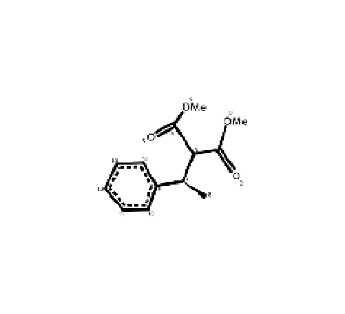 COC(=O)C(C(=O)OC)[C@@H](C)c1ccccc1